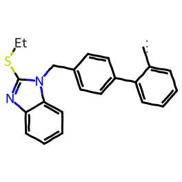 [C]c1ccccc1-c1ccc(Cn2c(SCC)nc3ccccc32)cc1